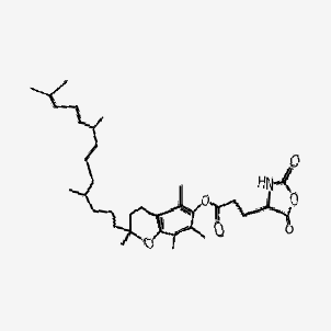 Cc1c(C)c2c(c(C)c1OC(=O)CCC1NC(=O)OC1=O)CCC(C)(CCCC(C)CCCC(C)CCCC(C)C)O2